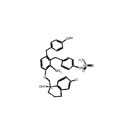 COc1ccc(Cc2ccc(OC[C@@]3(C=O)CCCc4cc(Cl)ccc43)c([N+](=O)[O-])c2Cc2ccc(OC)cc2)cc1.N[SH](=O)=O